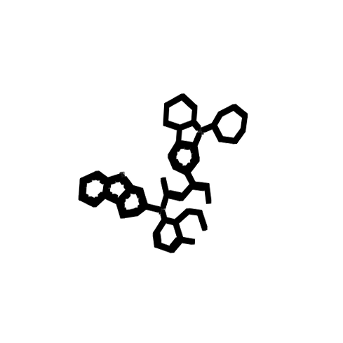 C/C=C(\C=C(/C)N(c1ccc2c(c1)sc1ccccc12)C1C=CC=C(C)C1CCC)c1ccc2c(c1)N(C1CCCCCC1)C1CCCCC21